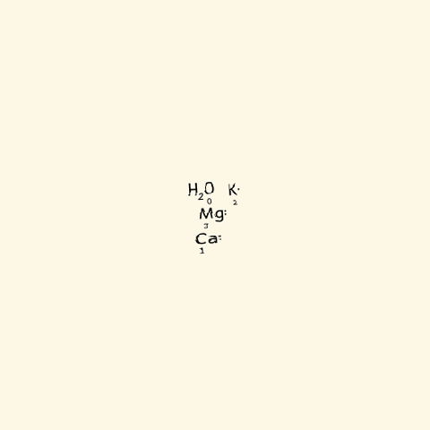 O.[Ca].[K].[Mg]